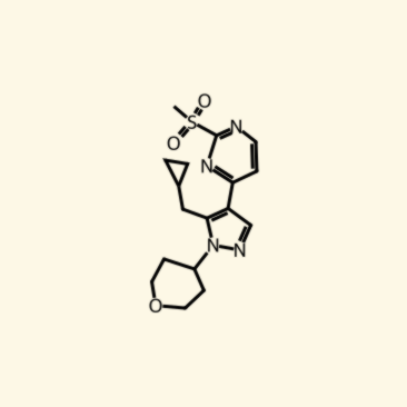 CS(=O)(=O)c1nccc(-c2cnn(C3CCOCC3)c2CC2CC2)n1